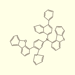 c1ccc(-c2cc(N(c3ccc(-c4ccccc4)c4ccccc34)c3cccc4sc5ccccc5c34)ccc2-c2cccc3c2oc2ccccc23)cc1